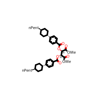 CCCCC[C@H]1CC[C@H](c2ccc(C(=O)O[C@@H](C(=O)OC)[C@@H](OC(=O)c3ccc([C@H]4CC[C@H](CCCCC)CC4)cc3)C(=O)OC)cc2)CC1